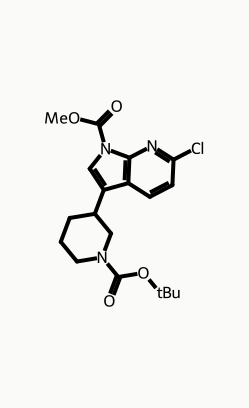 COC(=O)n1cc(C2CCCN(C(=O)OC(C)(C)C)C2)c2ccc(Cl)nc21